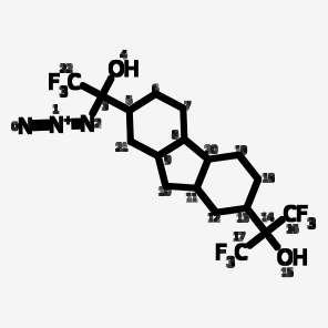 [N-]=[N+]=NC(O)(C1CCC2C(CC3CC(C(O)(C(F)(F)F)C(F)(F)F)CCC32)C1)C(F)(F)F